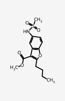 CCCCc1oc2ccc(NS(C)(=O)=O)cc2c1C(=O)OC